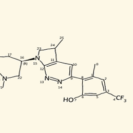 Cc1cc(C(F)(F)F)cc(O)c1-c1cc2c(nn1)N([C@@H]1CCCN(C)C1)CC2C